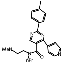 CCCN(CCNC)C(=O)c1cnc(-c2ccc(C)cc2)nc1-c1ccncc1